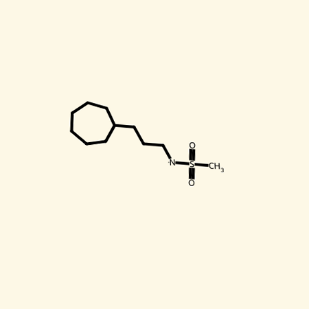 CS(=O)(=O)[N]CCCC1CCCCCC1